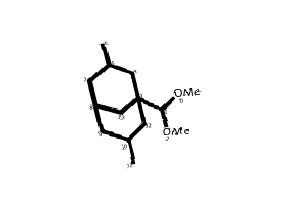 COC(OC)C12CC(C)CC(CC(C)C1)C2